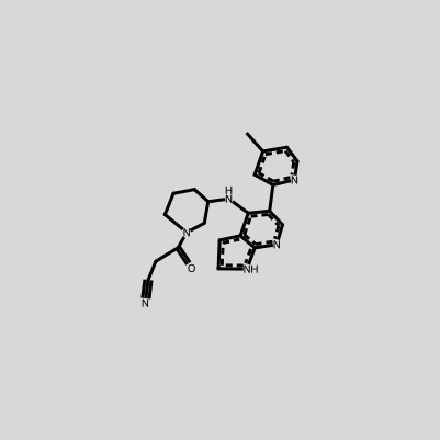 Cc1ccnc(-c2cnc3[nH]ccc3c2NC2CCCN(C(=O)CC#N)C2)c1